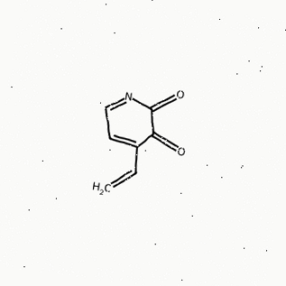 C=CC1=CC=NC(=O)C1=O